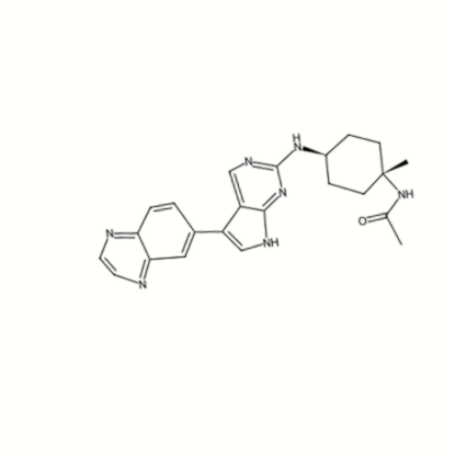 CC(=O)N[C@]1(C)CC[C@@H](Nc2ncc3c(-c4ccc5nccnc5c4)c[nH]c3n2)CC1